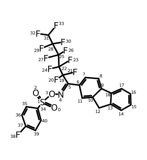 O=S(=O)(ON=C(c1ccc2c(c1)Cc1ccccc1-2)C(F)(F)C(F)(F)C(F)(F)C(F)(F)C(F)F)c1ccc(F)cc1